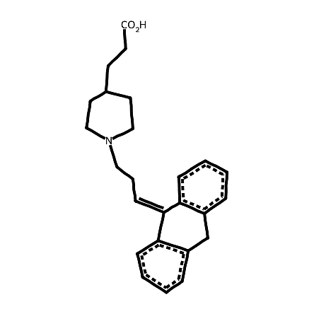 O=C(O)CCC1CCN(CCC=C2c3ccccc3Cc3ccccc32)CC1